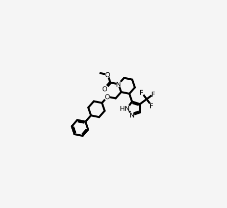 COC(=O)N1CCCC(c2[nH]ncc2C(F)(F)F)C1COC1CCC(c2ccccc2)CC1